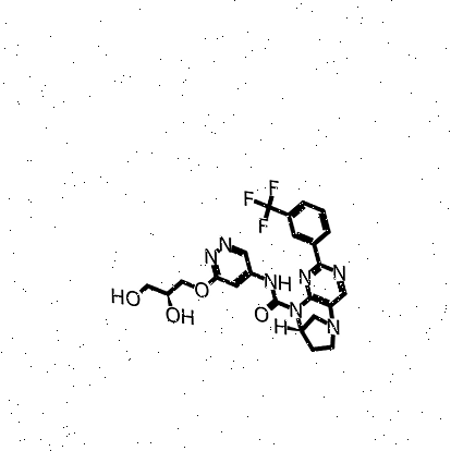 O=C(Nc1cnnc(OC[C@@H](O)CO)c1)N1c2nc(-c3cccc(C(F)(F)F)c3)ncc2N2CC[C@H]1C2